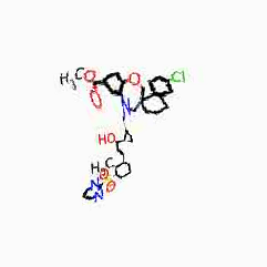 COC(=O)c1ccc2c(c1)N(C[C@@H]1CC[C@H]1[C@@H](O)/C=C/[C@H]1CCC[C@H](S(=O)(=O)c3ncccn3)[C@@H]1C)C[C@@]1(CCCc3cc(Cl)ccc31)CO2